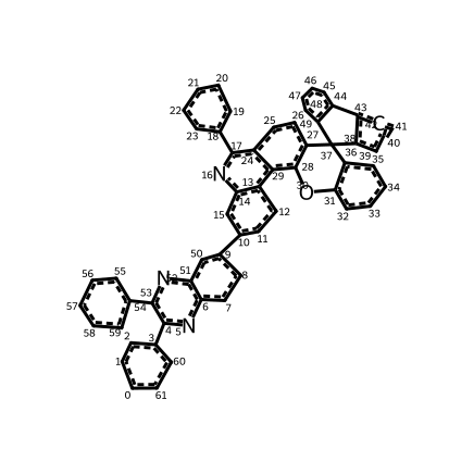 c1ccc(-c2nc3ccc(-c4ccc5c(c4)nc(-c4ccccc4)c4ccc6c(c45)Oc4ccccc4C64c5ccccc5-c5ccccc54)cc3nc2-c2ccccc2)cc1